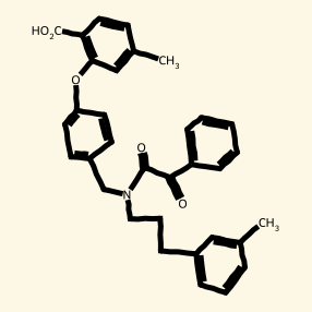 Cc1cccc(CCCN(Cc2ccc(Oc3cc(C)ccc3C(=O)O)cc2)C(=O)C(=O)c2ccccc2)c1